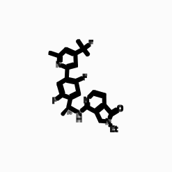 CCN1Cc2c(ccnc2N[C@@H](C)c2cc(F)c(-c3cc(C(C)(C)F)cc(C)n3)cc2F)C1=O